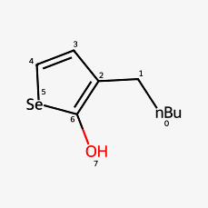 CCCCCc1cc[se]c1O